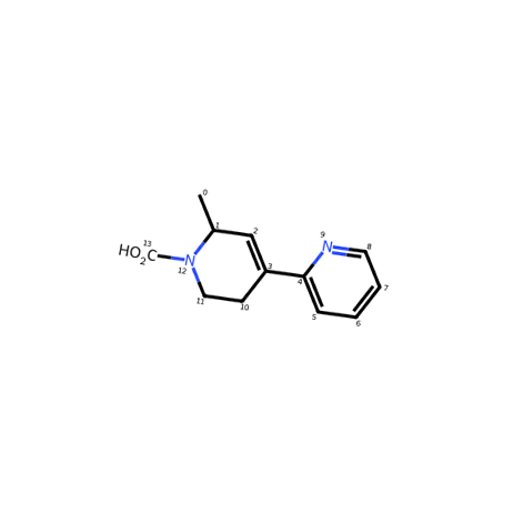 CC1C=C(c2ccccn2)CCN1C(=O)O